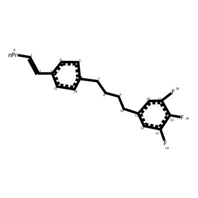 CCC/C=C/c1ccc(CCCCc2cc(F)c(F)c(F)c2)cc1